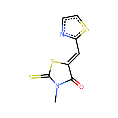 CN1C(=O)C(=Cc2nccs2)SC1=S